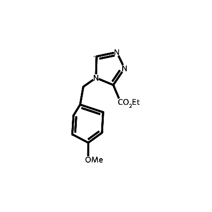 CCOC(=O)c1nn[c]n1Cc1ccc(OC)cc1